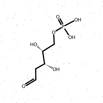 O=CC[C@@H](O)[C@H](O)COP(=O)(O)O